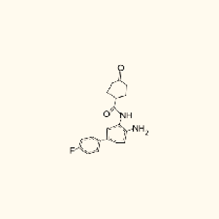 Nc1ccc(-c2ccc(F)cc2)cc1NC(=O)C1CCC(=O)CC1